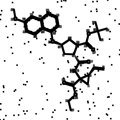 C=C[C@H]1CC1(NC(=O)[C@@H]1C[C@@H](Oc2ccnc3cc(OC)ccc23)CN1C(=O)OC(C)(C)C)C(=O)OCC